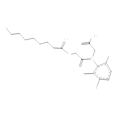 CCCCCCCCC(=O)SCC(=O)N(CC(=O)O)c1c(C)ccc(Cl)c1C